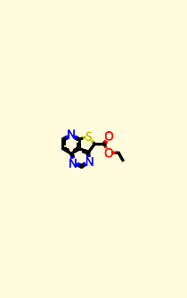 CCOC(=O)C1Sc2nccc3ncnc1c23